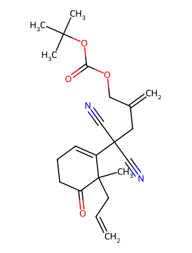 C=CCC1(C)C(=O)CCC=C1C(C#N)(C#N)CC(=C)COC(=O)OC(C)(C)C